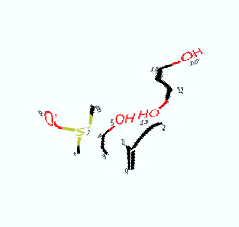 C=CC.CCO.C[S+](C)[O-].OCCO